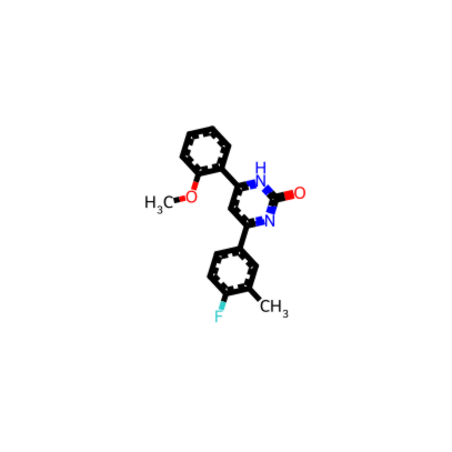 COc1ccccc1-c1cc(-c2ccc(F)c(C)c2)nc(=O)[nH]1